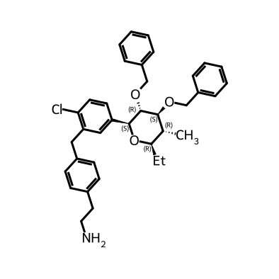 CC[C@H]1O[C@@H](c2ccc(Cl)c(Cc3ccc(CCN)cc3)c2)[C@H](OCc2ccccc2)[C@@H](OCc2ccccc2)[C@@H]1C